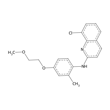 COCCOc1ccc(Nc2ccc3cccc(Cl)c3n2)c(C)c1